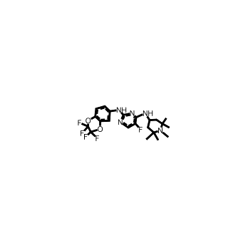 CN1C(C)(C)CC(Nc2nc(Nc3ccc4c(c3)OC(F)(F)C(F)(F)O4)ncc2F)CC1(C)C